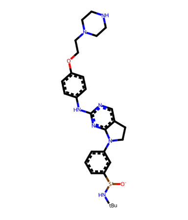 CC(C)(C)N[S+]([O-])c1cccc(N2CCc3cnc(Nc4ccc(OCCN5CCNCC5)cc4)nc32)c1